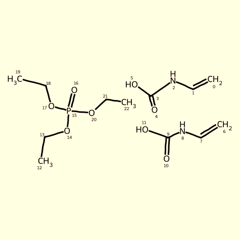 C=CNC(=O)O.C=CNC(=O)O.CCOP(=O)(OCC)OCC